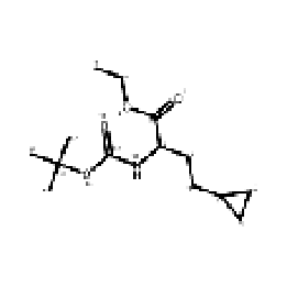 CCOC(=O)C(CCC1CC1)NC(=O)OC(C)(C)C